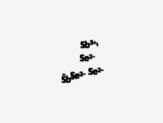 [Sb+3].[Sb+3].[Se-2].[Se-2].[Se-2]